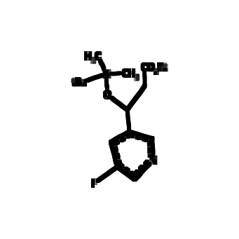 CCOC(=O)CC(O[Si](C)(C)C(C)(C)C)c1cncc(F)c1